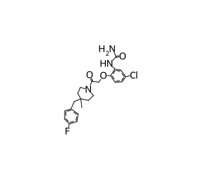 CC1(Cc2ccc(F)cc2)CCN(C(=O)COc2ccc(Cl)cc2NC(N)=O)CC1